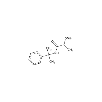 CSC(C)C(=O)NC(C)(C)c1ccccc1